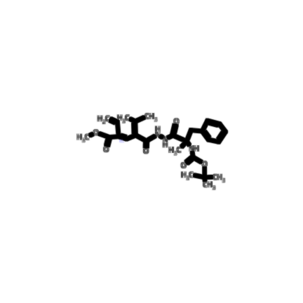 C=C/C(=C\C(C(=O)NNC(=O)C(C)(Cc1ccccc1)NC(=O)OC(C)(C)C)=C(C)C)C(=O)OC